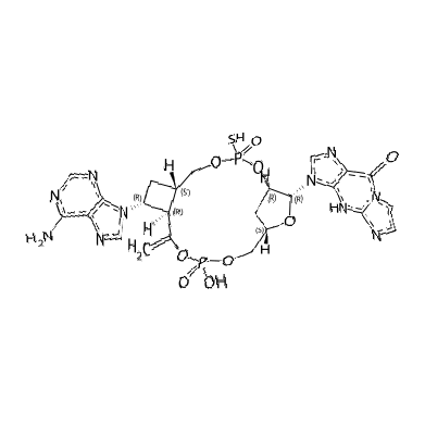 C=C1OP(=O)(O)OC[C@@H]2C[C@@H](OP(=O)(S)OC[C@H]3C[C@@H](n4cnc5c(N)ncnc54)[C@H]13)[C@H](n1cnc3c(=O)n4ccnc4[nH]c31)O2